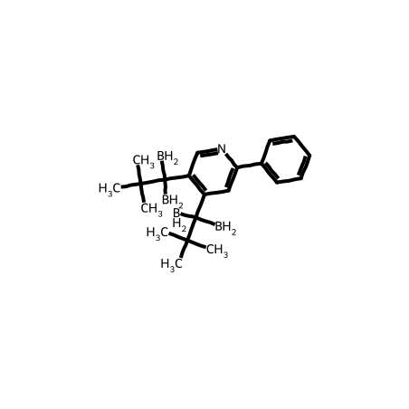 BC(B)(c1cnc(-c2ccccc2)cc1C(B)(B)C(C)(C)C)C(C)(C)C